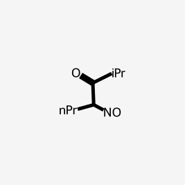 CCCC(N=O)C(=O)C(C)C